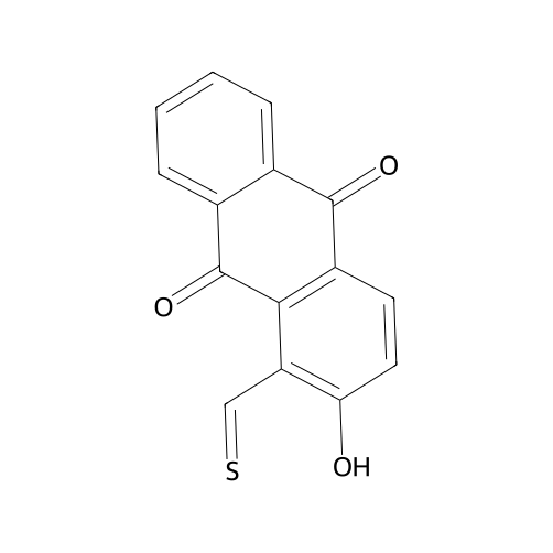 O=C1c2ccccc2C(=O)c2c1ccc(O)c2C=S